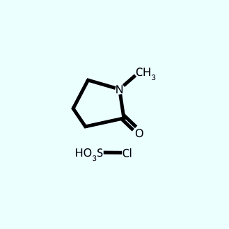 CN1CCCC1=O.O=S(=O)(O)Cl